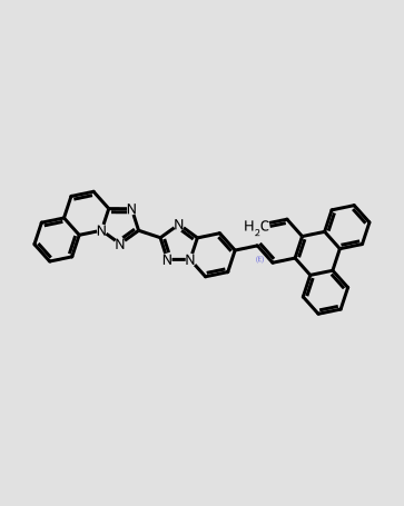 C=Cc1c(/C=C/c2ccn3nc(-c4nc5ccc6ccccc6n5n4)nc3c2)c2ccccc2c2ccccc12